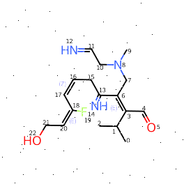 CC(C)/C(C=O)=C(/CN(C)CC=N)C(=N)C/C=C\C(F)=C/CO